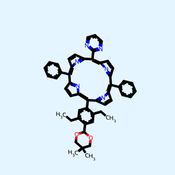 CCc1cc(C2OCC(C)(C)CO2)c(CC)cc1C1=C2C=CC(=N2)C(c2ccccc2)=C2C=CC(=N2)C(c2ncccn2)=C2C=CC(=N2)C(c2ccccc2)=C2C=CC1=N2